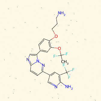 CC(F)(F)Oc1cc(-c2cnc3ccc(-c4cnc(N)c(C(F)(F)F)c4)nn23)ccc1OCCCN